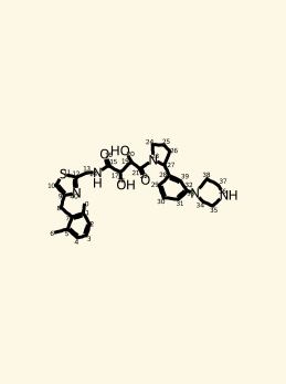 Cc1cccc(C)c1Cc1csc(CNC(=O)C(O)C(O)C(=O)N2CCCC2c2cccc(N3CCNCC3)c2)n1